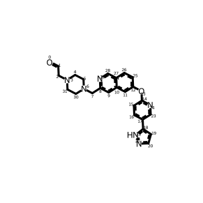 O=CCN1CCN(Cc2cc3cc(Oc4ccc(-c5ccn[nH]5)cn4)ccc3cn2)CC1